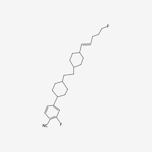 N#Cc1ccc(C2CCC(CCC3CCC(C=CCCCF)CC3)CC2)cc1F